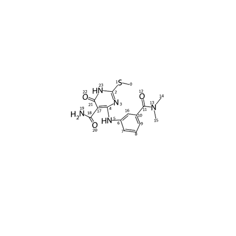 CSc1nc(Nc2cccc(C(=O)N(C)C)c2)c(C(N)=O)c(=O)[nH]1